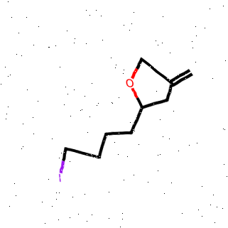 C=C1COC(CCCCI)C1